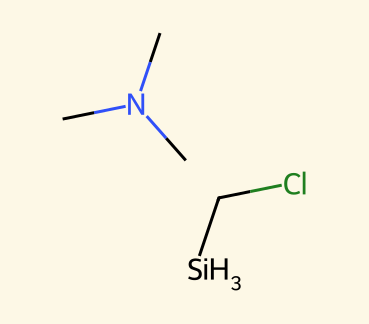 CN(C)C.[SiH3]CCl